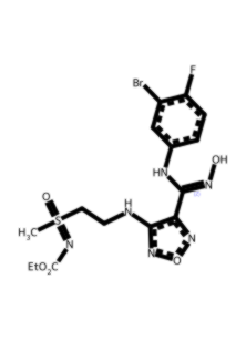 CCOC(=O)N=S(C)(=O)CCNc1nonc1/C(=N/O)Nc1ccc(F)c(Br)c1